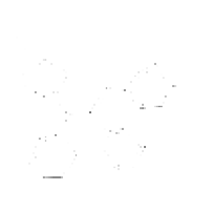 Cc1ccc(N=C(c2ccccc2)N(c2ccccc2)c2ccc(C)cc2)cc1